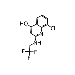 Oc1cc(NCC(F)(F)F)nc2c(Cl)cccc12